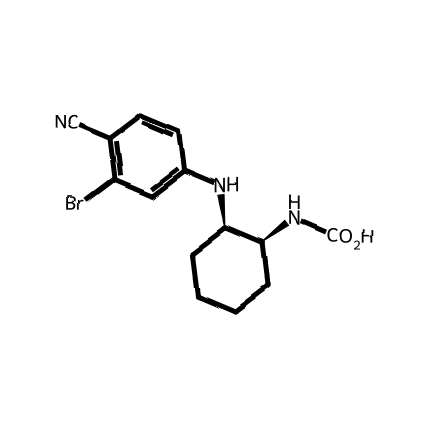 N#Cc1ccc(N[C@@H]2CCCC[C@@H]2NC(=O)O)cc1Br